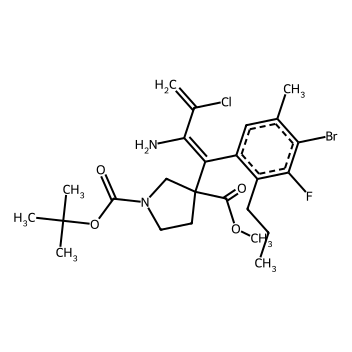 C=C(Cl)/C(N)=C(\c1cc(C)c(Br)c(F)c1CCC)C1(C(=O)OC)CCN(C(=O)OC(C)(C)C)C1